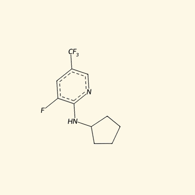 Fc1cc(C(F)(F)F)cnc1NC1CCCC1